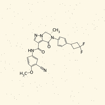 COc1ccc(NC(=O)c2cnn3c2C(=O)N(c2ccc(C4CC(F)(F)C4)cc2)[C@@H](C)C3)cc1C#N